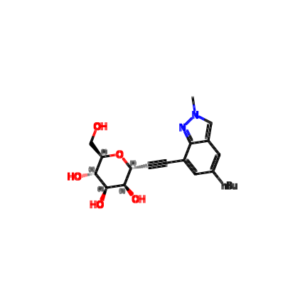 CCCCc1cc(C#C[C@H]2O[C@H](CO)[C@@H](O)[C@H](O)[C@@H]2O)c2nn(C)cc2c1